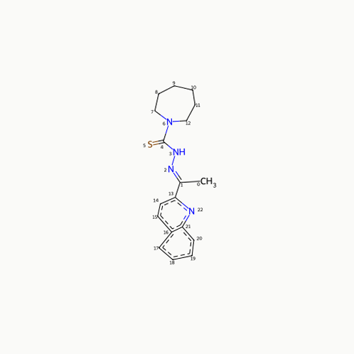 CC(=NNC(=S)N1CCCCCC1)c1ccc2ccccc2n1